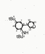 CC(C)(C)Nc1ccc(C(C)(C)C)cc1-c1ccoc1